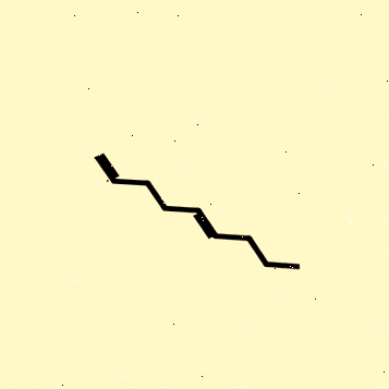 C=[C]CC/C=C/CCC